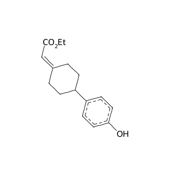 CCOC(=O)C=C1CCC(c2ccc(O)cc2)CC1